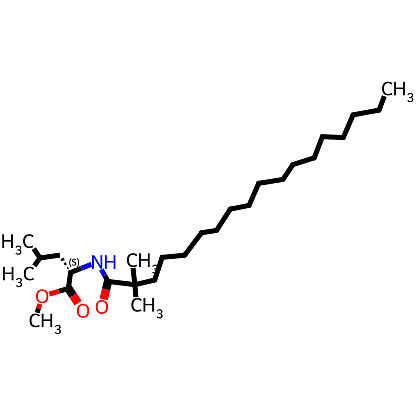 CCCCCCCCCCCCCCCCC(C)(C)C(=O)N[C@@H](CC(C)C)C(=O)OC